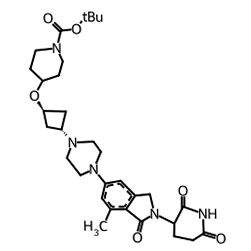 Cc1cc(N2CCN([C@H]3C[C@H](OC4CCN(C(=O)OC(C)(C)C)CC4)C3)CC2)cc2c1C(=O)N(C1CCC(=O)NC1=O)C2